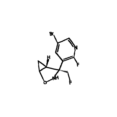 FC[C@]1(c2cc(Br)cnc2F)NOC2C[C@@H]21